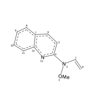 C=CN(OC)c1ccc2ccccc2n1